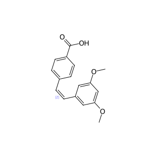 COc1cc(/C=C\c2ccc(C(=O)O)cc2)cc(OC)c1